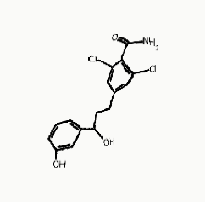 NC(=O)c1c(Cl)cc(CCC(O)c2cccc(O)c2)cc1Cl